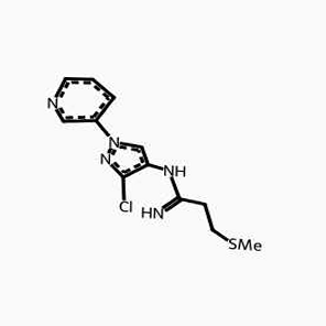 CSCCC(=N)Nc1cn(-c2cccnc2)nc1Cl